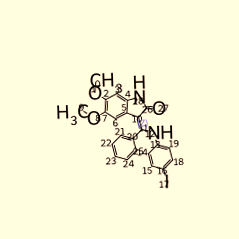 COc1cc2c(cc1OC)/C(=C(/Nc1ccc(I)cc1)c1ccccc1)C(=O)N2